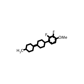 COc1ccc(C2CCC(=C3CCC(C)CC3)CC2)c(F)c1F